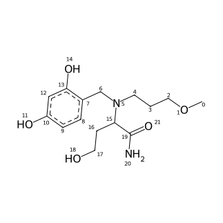 COCCCN(Cc1ccc(O)cc1O)C(CCO)C(N)=O